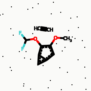 C#C.COc1cc2cc-2c1OC(F)F